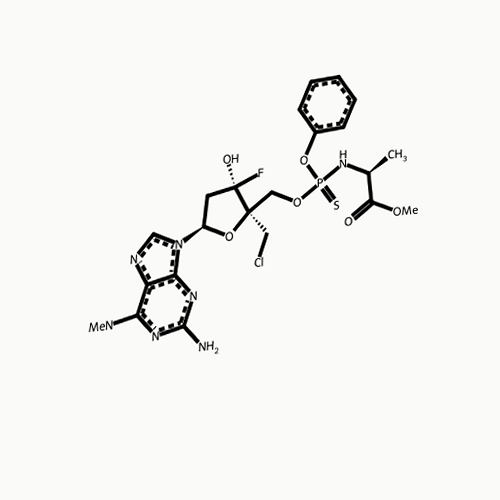 CNc1nc(N)nc2c1ncn2[C@H]1C[C@@](O)(F)[C@@](CCl)(COP(=S)(N[C@@H](C)C(=O)OC)Oc2ccccc2)O1